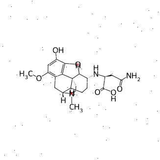 COc1cc(O)c2c3c1C[C@@H]1[C@@H]4CC[C@@H](N[C@@H](CC(N)=O)C(=O)O)[C@H](O2)[C@]34CCN1C